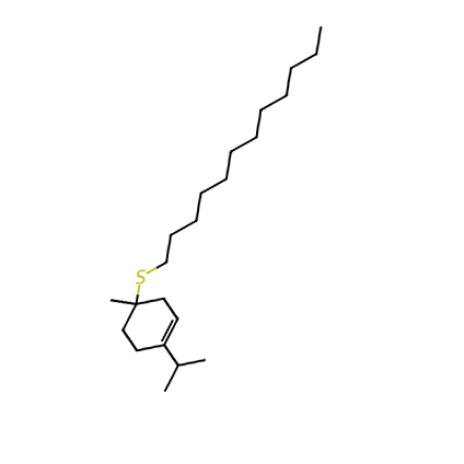 CCCCCCCCCCCCSC1(C)CC=C(C(C)C)CC1